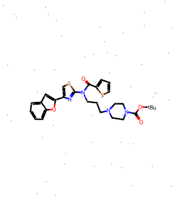 CC(C)(C)OC(=O)N1CCN(CCCN(C(=O)c2cccs2)c2nc(-c3cc4ccccc4o3)cs2)CC1